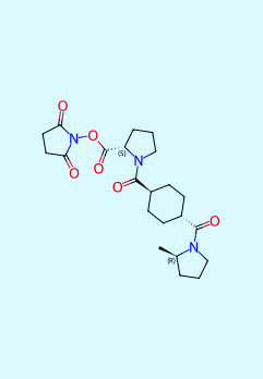 C[C@@H]1CCCN1C(=O)[C@H]1CC[C@H](C(=O)N2CCC[C@H]2C(=O)ON2C(=O)CCC2=O)CC1